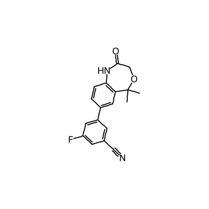 CC1(C)OCC(=O)Nc2ccc(-c3cc(F)cc(C#N)c3)cc21